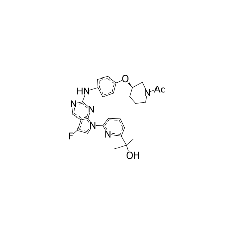 CC(=O)N1CCC[C@@H](Oc2ccc(Nc3ncc4c(F)cn(-c5cccc(C(C)(C)O)n5)c4n3)cc2)C1